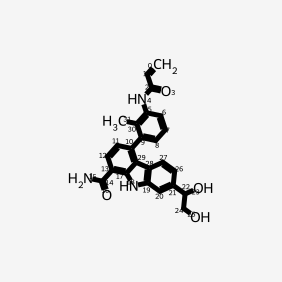 C=CC(=O)Nc1cccc(-c2ccc(C(N)=O)c3[nH]c4cc(C(O)CO)ccc4c23)c1C